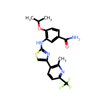 Cc1nc(C(F)(F)F)ccc1-c1csc(Nc2cc(C(N)=O)ccc2OC(C)C)n1